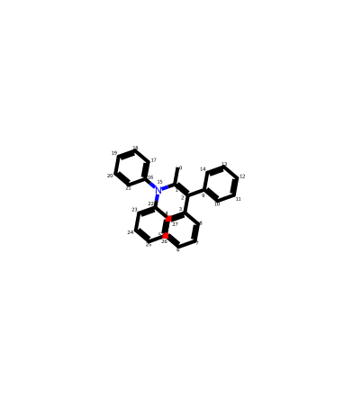 CC(=C(c1ccccc1)c1ccccc1)N(c1ccccc1)c1ccccc1